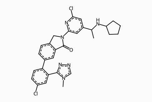 CC(NC1CCCC1)c1cc(Cl)nc(N2Cc3ccc(-c4ccc(Cl)cc4-c4nncn4C)cc3C2=O)c1